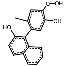 Cc1cc(OO)c(O)cc1-c1c(O)ccc2ccccc12